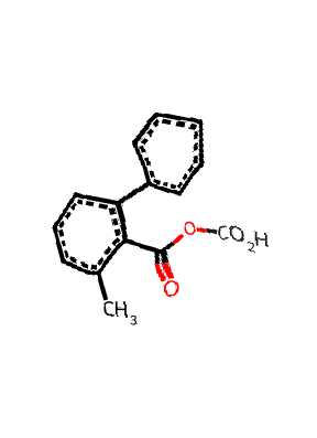 Cc1cccc(-c2ccccc2)c1C(=O)OC(=O)O